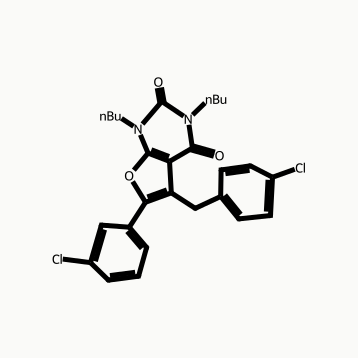 CCCCn1c(=O)c2c(Cc3ccc(Cl)cc3)c(-c3cccc(Cl)c3)oc2n(CCCC)c1=O